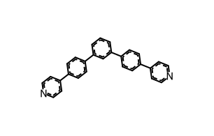 c1cc(-c2ccc(-c3ccncc3)cc2)cc(-c2ccc(-c3ccncc3)cc2)c1